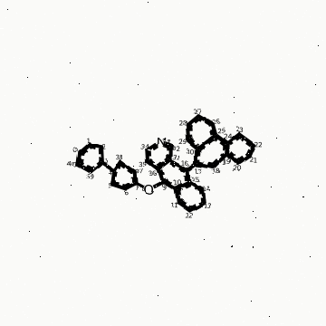 c1ccc(-c2ccc(Oc3c4ccccc4c(-c4cc5ccccc5c5ccccc45)c4cnccc34)cc2)cc1